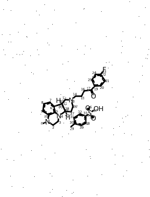 CN1CCN2c3c(cccc31)[C@@H]1CN(CCCC(=O)c3ccc(F)cc3)CC[C@@H]12.Cc1ccc(S(=O)(=O)O)cc1